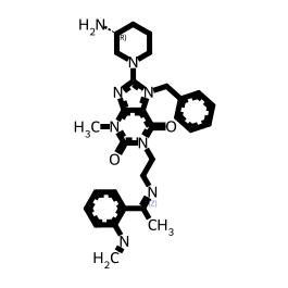 C=Nc1ccccc1/C(C)=N\CCn1c(=O)c2c(nc(N3CCC[C@@H](N)C3)n2Cc2ccccc2)n(C)c1=O